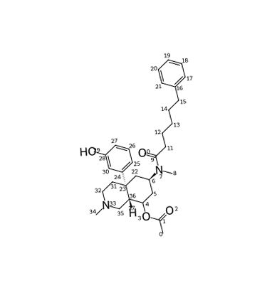 CC(=O)OC1C[C@H](N(C)C(=O)CCCCCc2ccccc2)C[C@]2(c3cccc(O)c3)CCN(C)C[C@@H]12